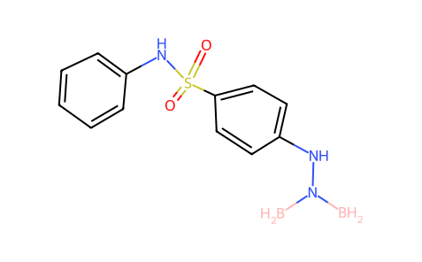 BN(B)Nc1ccc(S(=O)(=O)Nc2ccccc2)cc1